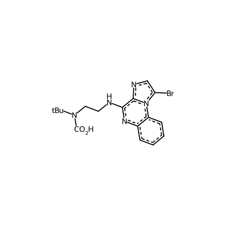 CC(C)(C)N(CCNc1nc2ccccc2n2c(Br)cnc12)C(=O)O